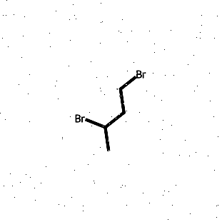 CC(Br)C[CH]Br